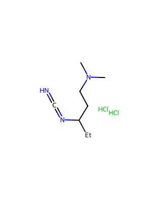 CCC(CCN(C)C)N=C=N.Cl.Cl